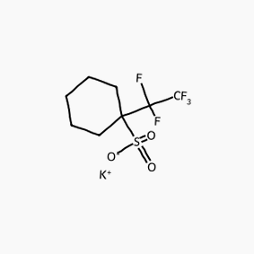 O=S(=O)([O-])C1(C(F)(F)C(F)(F)F)CCCCC1.[K+]